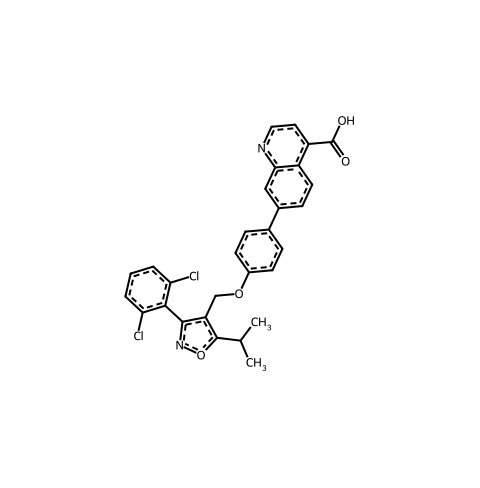 CC(C)c1onc(-c2c(Cl)cccc2Cl)c1COc1ccc(-c2ccc3c(C(=O)O)ccnc3c2)cc1